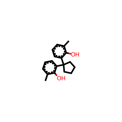 Cc1cccc(C2(c3cccc(C)c3O)CCCC2)c1O